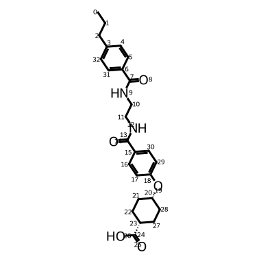 CCCc1ccc(C(=O)NCCNC(=O)c2ccc(O[C@H]3CC[C@@H](C(=O)O)CC3)cc2)cc1